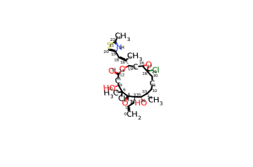 C=CC[C@H]1C(=O)C(C)(C)[C@@H](O)CC(=O)O[C@H](C(C)=Cc2csc(C)n2)CC2OC2(Cl)CCC[C@H](C)[C@@H]1O